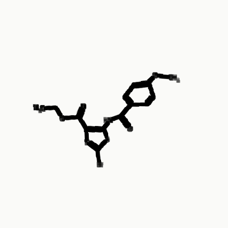 CCOC(=O)c1nc(Br)sc1NC(=O)c1ccc(OC)cc1